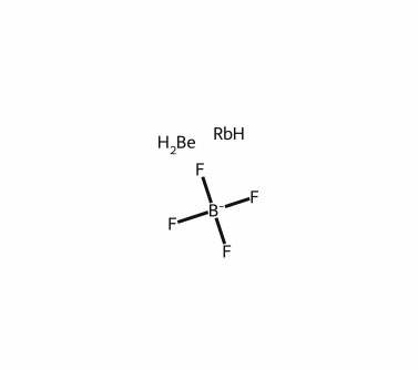 F[B-](F)(F)F.[BeH2].[RbH]